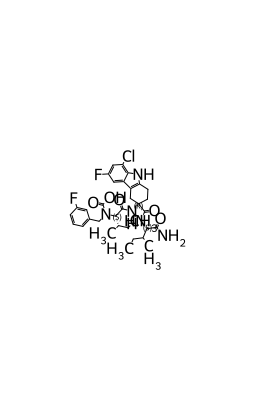 CCC(C)[C@H](NC(=O)[C@@]1(NC(=O)[C@H](C(C)CC)N(Cc2cccc(F)c2)C(=O)O)CCc2[nH]c3c(Cl)cc(F)cc3c2C1)C(N)=O